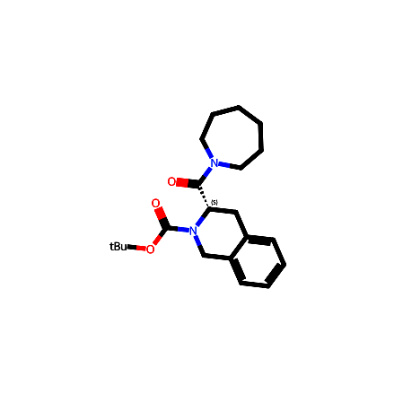 CC(C)(C)OC(=O)N1Cc2ccccc2C[C@H]1C(=O)N1CCCCCC1